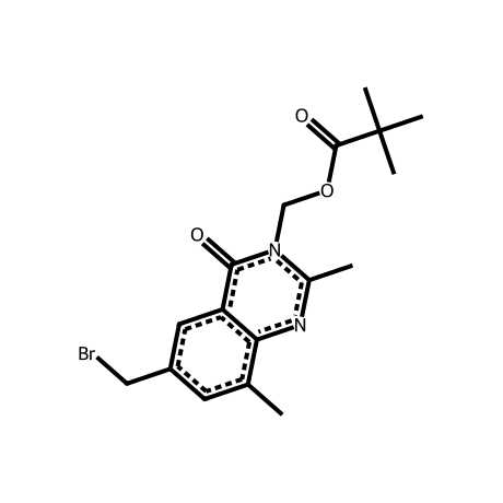 Cc1cc(CBr)cc2c(=O)n(COC(=O)C(C)(C)C)c(C)nc12